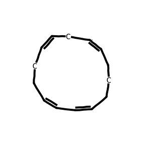 [C]1=CCCCC=CC=CCCC=CC1